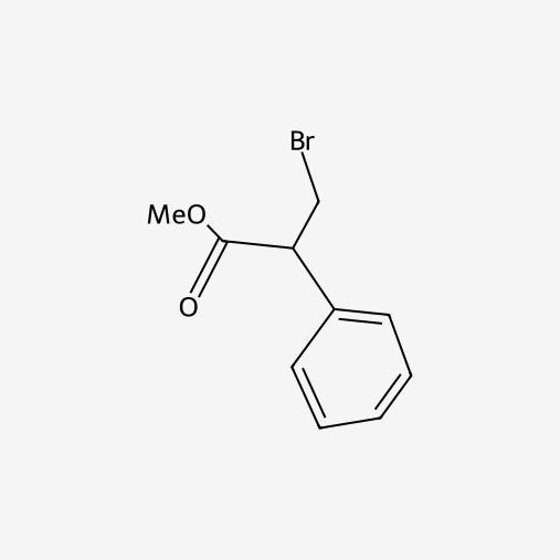 COC(=O)C(CBr)c1ccccc1